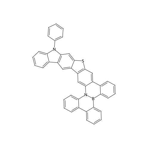 c1ccc(-n2c3ccccc3c3cc4c(cc32)sc2cc3c(cc24)N2B(c4ccccc4-c4ccccc42)c2ccccc2-3)cc1